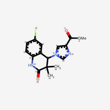 COC(=O)c1cn(C2c3cc(F)ccc3NC(=O)C2(C)C)cn1